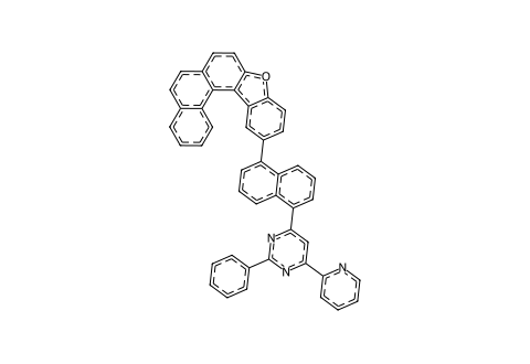 c1ccc(-c2nc(-c3ccccn3)cc(-c3cccc4c(-c5ccc6oc7ccc8ccc9ccccc9c8c7c6c5)cccc34)n2)cc1